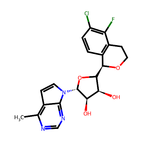 Cc1ncnc2c1ccn2[C@@H]1OC([C@@H]2OCCc3c2ccc(Cl)c3F)[C@@H](O)[C@H]1O